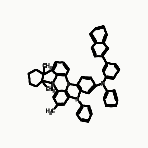 Cc1cc2c3c(c1)N1c4c(cccc4C4(C)CCCCC14C)B3c1ccc(N(c3ccccc3)c3cccc(-c4ccc5ccccc5c4)c3)cc1N2c1ccccc1